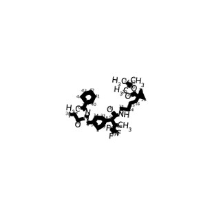 C/C(=N\N(Cc1ccc(C(C(=O)NCCCCC2(C(=O)OC(C)(C)C)CC2)C(C)C(F)(F)F)cc1)C(=O)CI)c1ccccc1